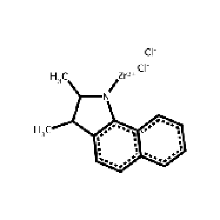 CC1c2ccc3ccccc3c2[N]([Zr+2])C1C.[Cl-].[Cl-]